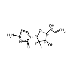 C=C[C@@H](O)[C@H]1O[C@@H](n2ccc(N)nc2=O)C(F)(F)[C@@H]1O